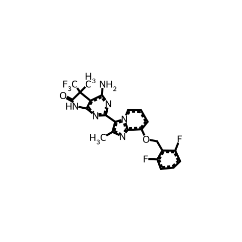 Cc1nc2c(OCc3c(F)cccc3F)cccn2c1-c1nc(N)c2c(n1)NC(=O)C2(C)C(F)(F)F